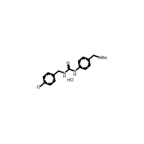 CNCc1ccc(NC(=O)NCc2ccc(Cl)cc2)cc1.Cl